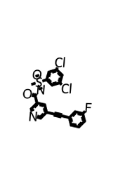 CS(=O)(=NC(=O)c1cncc(C#Cc2cccc(F)c2)c1)c1cc(Cl)cc(Cl)c1